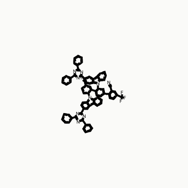 N#Cc1ccc(-n2c3ccccc3c3cc(-c4nc(-c5ccccc5)nc(-c5ccccc5)n4)ccc32)c(-c2ccc(-c3ccc(C(F)(F)F)cc3C#N)cc2-n2c3ccccc3c3cc(-c4nc(-c5ccccc5)nc(-c5ccccc5)n4)ccc32)c1